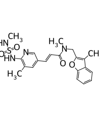 CNS(=O)(=O)Nc1ncc(/C=C/C(=O)N(C)Cc2oc3ccccc3c2C)cc1C